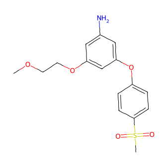 COCCOc1cc(N)cc(Oc2ccc(S(C)(=O)=O)cc2)c1